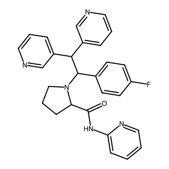 O=C(Nc1ccccn1)C1CCCN1C(c1ccc(F)cc1)C(c1cccnc1)c1cccnc1